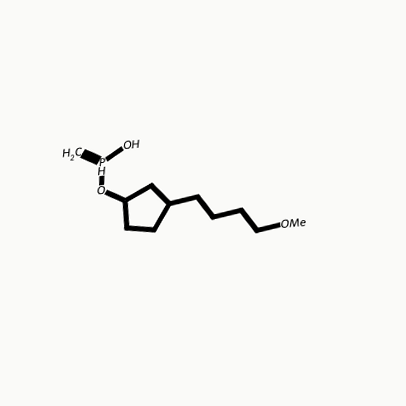 C=[PH](O)OC1CCC(CCCCOC)C1